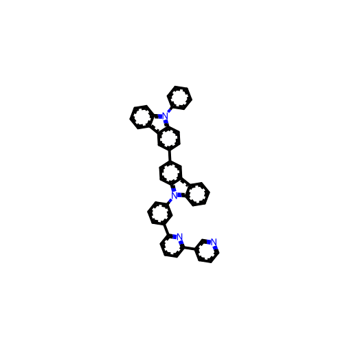 c1ccc(-n2c3ccccc3c3cc(-c4ccc5c(c4)c4ccccc4n5-c4cccc(-c5cccc(-c6cccnc6)n5)c4)ccc32)cc1